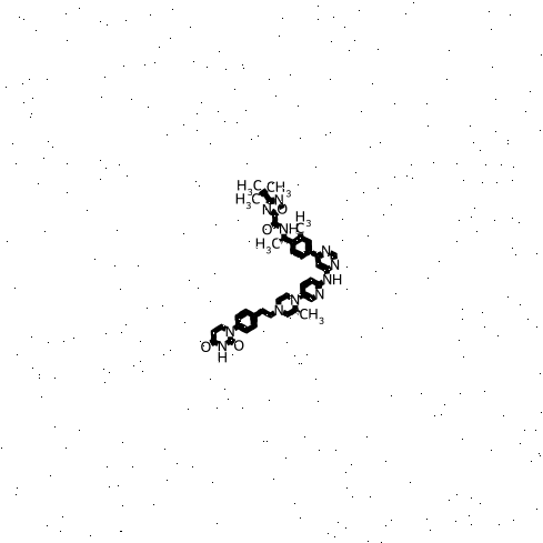 Cc1cc(-c2cc(Nc3ccc(N4CCN(CCc5ccc(N6CCC(=O)NC6=O)cc5)C[C@H]4C)cn3)ncn2)ccc1[C@@H](C)NC(=O)c1nc(C(C)(C)C)no1